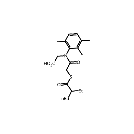 CCCCC(CC)C(=O)SCC(=O)N(CC(=O)O)c1c(C)ccc(C)c1C